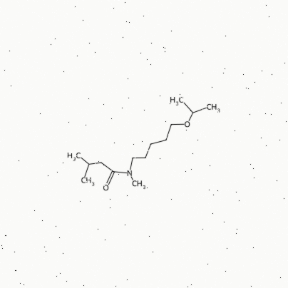 CC(C)CC(=O)N(C)CCCCCOC(C)C